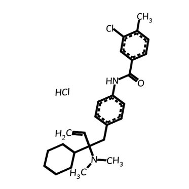 C=CC(Cc1ccc(NC(=O)c2ccc(C)c(Cl)c2)cc1)(C1CCCCC1)N(C)C.Cl